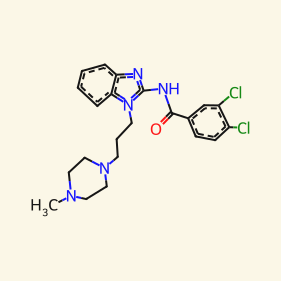 CN1CCN(CCCn2c(NC(=O)c3ccc(Cl)c(Cl)c3)nc3ccccc32)CC1